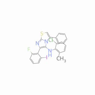 Cc1cccc(Cl)c1Nc1c(-c2c(F)cccc2I)nc2scc(-c3ccccc3)n12